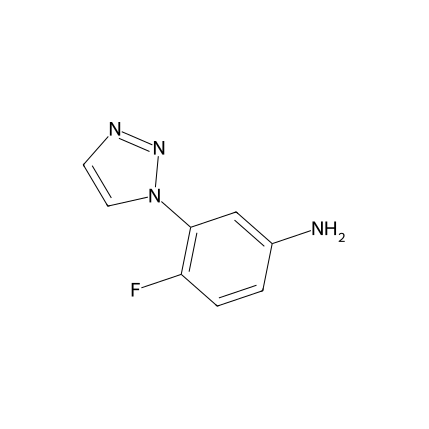 Nc1ccc(F)c(-n2ccnn2)c1